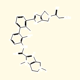 CNCC(=O)N1Cc2nc(-c3cccc(-c4cccc(NC(=O)c5nc6c(n5C)CCN(C)C6)c4Cl)c3C)sc2C1